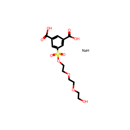 O=C(O)c1cc(C(=O)O)cc(S(=O)(=O)OCCOCCOCCO)c1.[NaH]